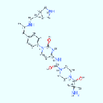 CC(Cc1ccc(-n2ccc(NC(=O)N3CCN(C(=O)C(C)(C)N)CC3)nc2=O)cc1)NCC1C2CNCC21